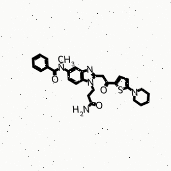 CN(C(=O)c1ccccc1)c1ccc2c(c1)nc(CC(=O)c1ccc(N3CCCCC3)s1)n2CCC(N)=O